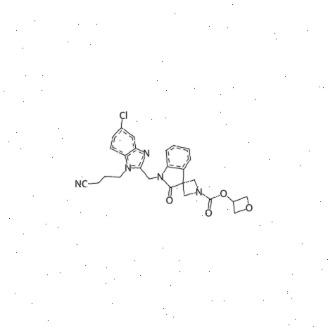 N#CCCCn1c(CN2C(=O)C3(CN(C(=O)OC4COC4)C3)c3ccccc32)nc2cc(Cl)ccc21